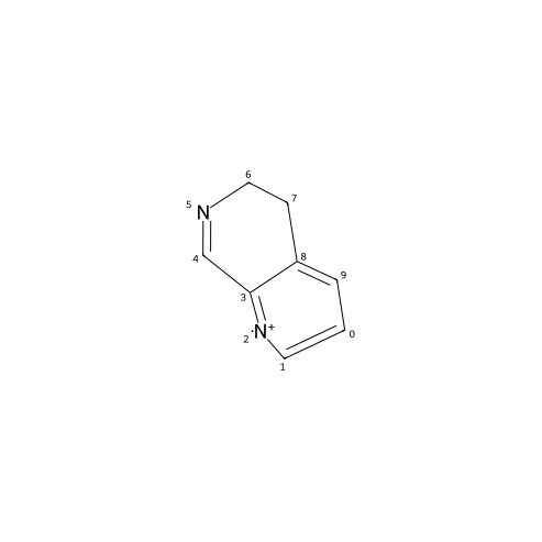 C1=C[N+]=C2C=NCCC2=C1